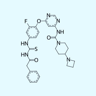 O=C(Cc1ccccc1)NC(=S)Nc1ccc(Oc2cc(NC(=O)N3CCC(N4CCC4)CC3)ncn2)c(F)c1